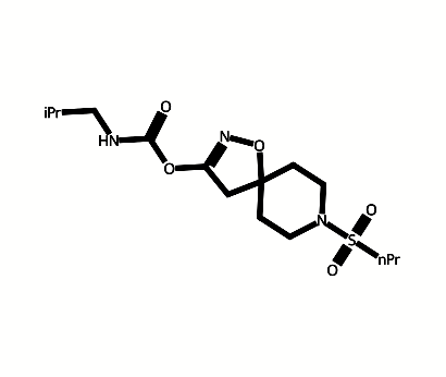 CCCS(=O)(=O)N1CCC2(CC1)CC(OC(=O)NCC(C)C)=NO2